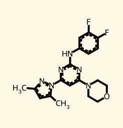 Cc1cc(C)n(-c2cc(N3CCOCC3)nc(Nc3ccc(F)c(F)c3)n2)n1